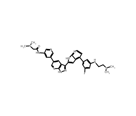 CN(C)CCNc1cc(F)cc(-c2ccnc3[nH]c(-c4n[nH]c5ncc(-c6cncc(NC(=O)CN(C)C)c6)cc45)cc23)c1